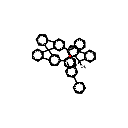 CC1(C)c2ccccc2-c2cccc(N(c3ccc(-c4ccccc4)cc3)c3ccc4c(c3)C3(c5ccccc5-c5ccc(N(c6ccccc6)c6ccccc6)cc53)c3ccccc3-4)c21